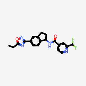 CCc1nc(-c2ccc3c(c2)CCC3NC(=O)c2ccnc(C(F)F)c2)no1